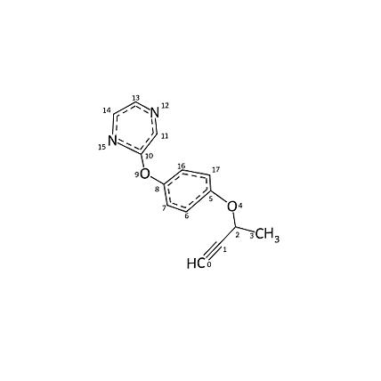 C#CC(C)Oc1ccc(Oc2cnccn2)cc1